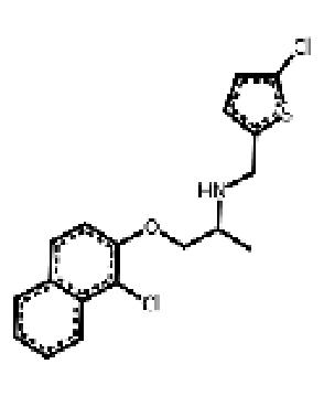 CC(COc1ccc2ccccc2c1Cl)NCc1ccc(Cl)s1